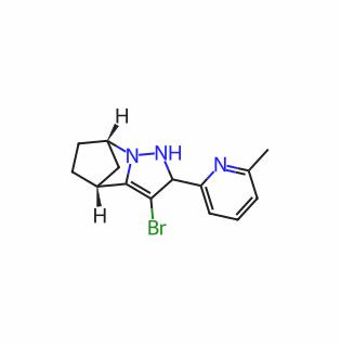 Cc1cccc(C2NN3C(=C2Br)[C@@H]2CC[C@H]3C2)n1